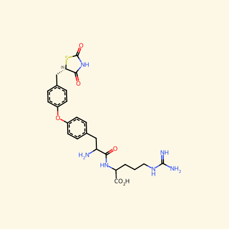 N=C(N)NCCCC(NC(=O)C(N)Cc1ccc(Oc2ccc(C[C@@H]3SC(=O)NC3=O)cc2)cc1)C(=O)O